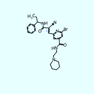 CCC(NC(=O)/C(C#N)=C/c1cc(C(=O)NCCN2CCCCC2)cc(Br)n1)c1ccccc1